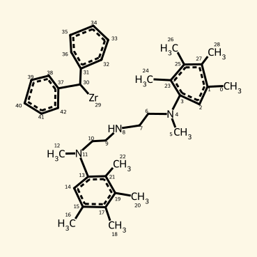 Cc1cc(N(C)CCNCCN(C)c2cc(C)c(C)c(C)c2C)c(C)c(C)c1C.[Zr][CH](c1ccccc1)c1ccccc1